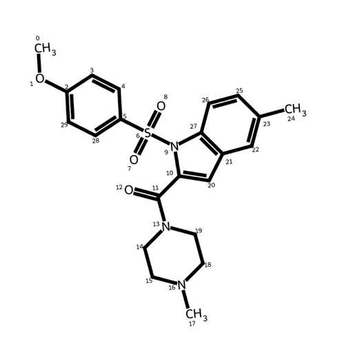 COc1ccc(S(=O)(=O)n2c(C(=O)N3CCN(C)CC3)cc3cc(C)ccc32)cc1